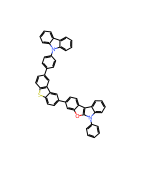 c1ccc(-n2c3ccccc3c3c4ccc(-c5ccc6sc7ccc(-c8ccc(-n9c%10ccccc%10c%10ccccc%109)cc8)cc7c6c5)cc4oc32)cc1